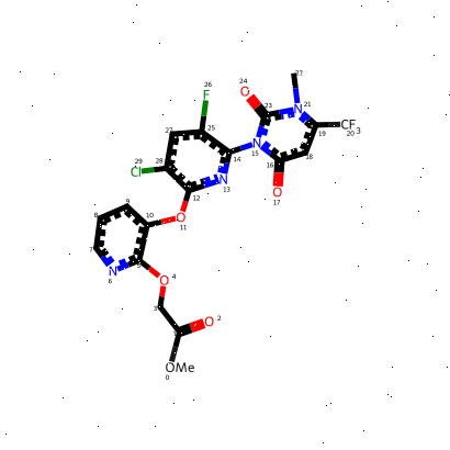 COC(=O)COc1ncccc1Oc1nc(-n2c(=O)cc(C(F)(F)F)n(C)c2=O)c(F)cc1Cl